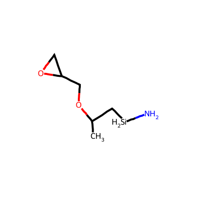 CC(C[SiH2]N)OCC1CO1